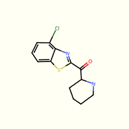 O=C(c1nc2c(Cl)cccc2s1)C1CCCC[N]1